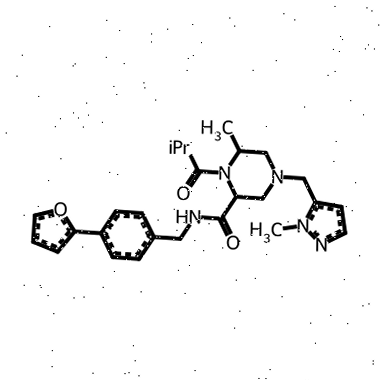 CC(C)C(=O)N1C(C)CN(Cc2ccnn2C)CC1C(=O)NCc1ccc(-c2ccco2)cc1